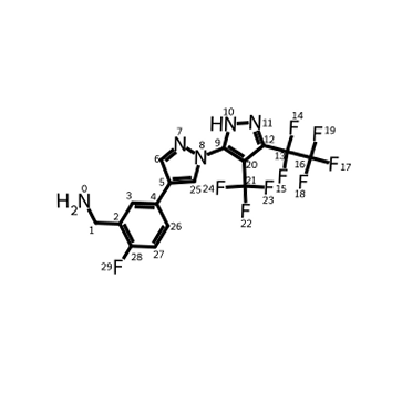 NCc1cc(-c2cnn(-c3[nH]nc(C(F)(F)C(F)(F)F)c3C(F)(F)F)c2)ccc1F